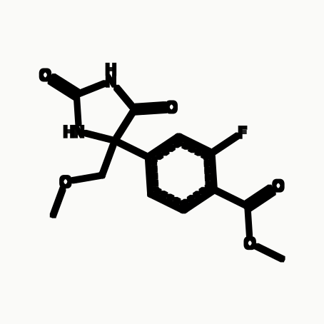 COCC1(c2ccc(C(=O)OC)c(F)c2)NC(=O)NC1=O